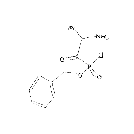 CC(C)C(N)C(=O)P(=O)(Cl)OCc1ccccc1